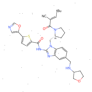 CC(C)(C)C=C(C#N)C(=O)N1CCC[C@@H]1Cn1c(NC(=O)c2ccc(-c3cnco3)s2)nc2cc(CNC3CCOC3)ccc21